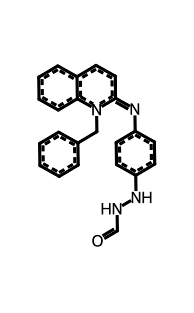 O=CNNc1ccc(N=c2ccc3ccccc3n2Cc2ccccc2)cc1